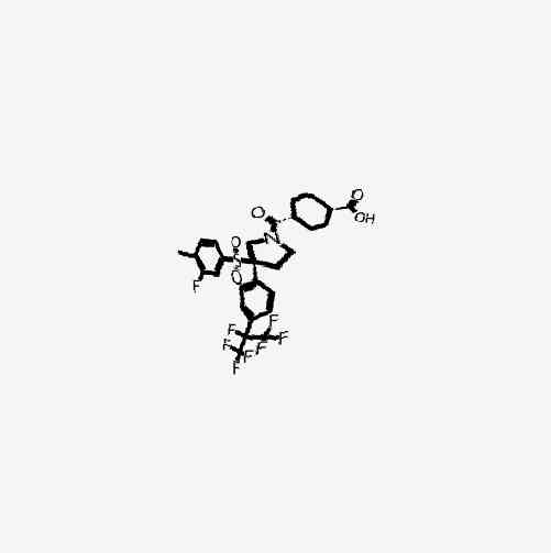 Cc1ccc(S(=O)(=O)[C@@]2(c3ccc(C(F)(C(F)(F)F)C(F)(F)F)cc3)CCN(C(=O)[C@H]3CC[C@H](C(=O)O)CC3)C2)cc1F